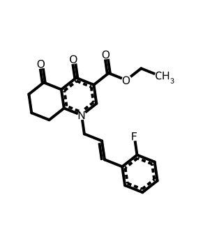 CCOC(=O)c1cn(C/C=C/c2ccccc2F)c2c(c1=O)C(=O)CCC2